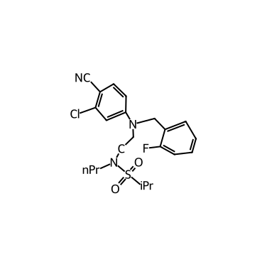 CCCN(CCN(Cc1ccccc1F)c1ccc(C#N)c(Cl)c1)S(=O)(=O)C(C)C